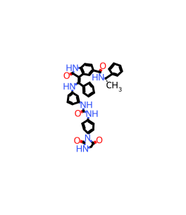 C[C@H](NC(=O)c1ccc2c(c1)/C(=C(/Nc1cccc(NC(=O)Nc3ccc(N4C(=O)CNC4=O)cc3)c1)c1ccccc1)C(=O)N2)c1ccccc1